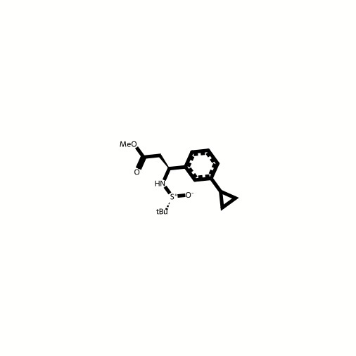 COC(=O)C[C@H](N[S@+]([O-])C(C)(C)C)c1cccc(C2CC2)c1